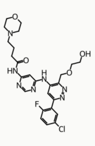 O=C(CCCN1CCOCC1)Nc1cc(Nc2cc(-c3cc(Cl)ccc3F)nnc2COCCO)ncn1